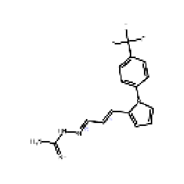 N=C(N)N/N=C/C=C/c1cccn1-c1ccc(C(F)(F)F)cc1